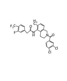 Cc1ccc2c(c1NC(=O)Cc1ccc(C(F)(F)F)c(F)c1)CCN(C(=O)c1ccc(Cl)c(Cl)c1)C2